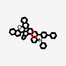 C1=Cc2c(ccc3c2Oc2c(ccc4ccccc24)C32c3ccccc3-c3c(-c4cccc(N(c5ccccc5)c5cc(-c6ccccc6)ccc5-c5ccccc5)c4)cccc32)CC1